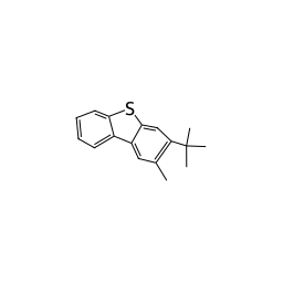 Cc1cc2c(cc1C(C)(C)C)sc1ccccc12